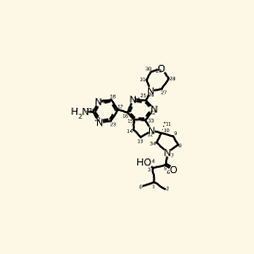 CC(C)[C@@H](O)C(=O)N1CC[C@](C)(N2CCc3c(-c4cnc(N)nc4)nc(N4CCOCC4)nc32)C1